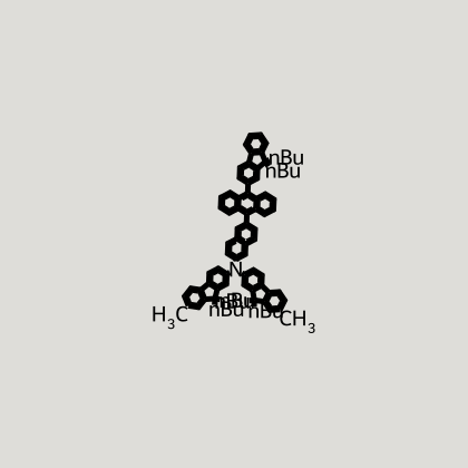 CCCCC1(CCCC)c2ccccc2-c2ccc(-c3c4ccccc4c(-c4ccc5cc(N(c6ccc7c(c6)C(CCCC)(CCCC)c6cc(C)ccc6-7)c6ccc7c(c6)C(CCCC)(CCCC)c6cc(C)ccc6-7)ccc5c4)c4ccccc34)cc21